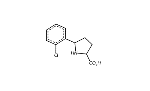 O=C(O)C1CCC(c2ccccc2Cl)N1